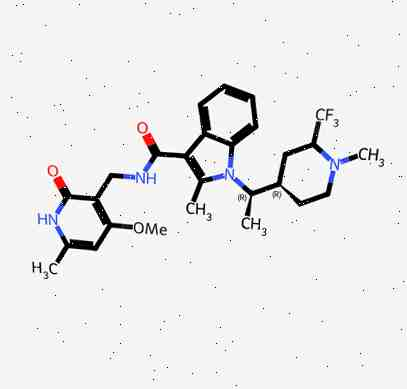 COc1cc(C)[nH]c(=O)c1CNC(=O)c1c(C)n([C@H](C)[C@@H]2CCN(C)C(C(F)(F)F)C2)c2ccccc12